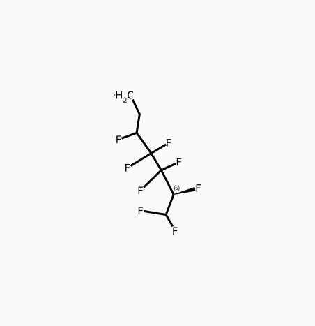 [CH2]CC(F)C(F)(F)C(F)(F)[C@@H](F)C(F)F